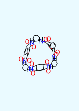 O=C1c2ccc3c4c5ccc(c24)C(=O)N1[C@H]1CCCC[C@@H]1N1C(=O)c2ccc4c6c(ccc(c26)C1=O)C(=O)N(C4=O)[C@H]1CCCC[C@@H]1n1c(=O)c2cc4c(=O)n(c(=O)c4cc2c1=O)[C@H]1CCCC[C@@H]1N(C3=O)C5=O